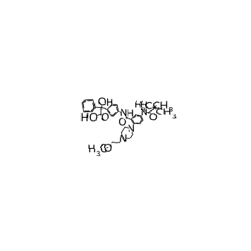 COCCN1CCN(c2ccc(NC(=O)C(C)(C)C)cc2C(=O)Nc2ccc(C(O)(C(=O)O)c3ccccc3)cc2)CC1